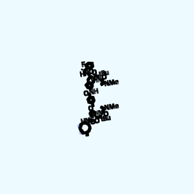 C=C1/C=C\C=C/C[C@H](NC(=O)[C@@H]2C[C@H](OCc3ccc(C(=O)Nc4ccc5c(c4)CN(C(=O)[C@@H](NC(=O)[C@H](C)NC)C(C)(C)C)[C@H](C(=O)N[C@H](C)c4ccccc4F)C5)cc3)CN2C(=O)[C@@H](NC(=O)[C@H](C)NC)C(C)(C)C)CCC1